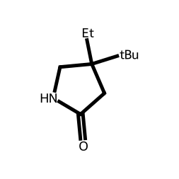 CCC1(C(C)(C)C)CNC(=O)C1